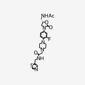 CC(=O)NC[C@H]1CN(c2ccc(N3CCN(CC(=O)NCc4cncs4)CC3)c(F)c2)C(=O)O1